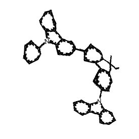 CC1(C)c2ccc(-c3ccc4c(c3)c3ccccc3n4-c3ccccc3)cc2-c2cc(-n3c4ccccc4c4ccccc43)ccc21